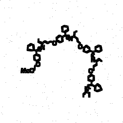 C=C/C(=C\C)N=C=C(c1ccccc1)c1ccc(OC/C=C/C(=C\C)N=C=C(c2ccccc2)c2ccc(OC/C=C/C(=C\C)N=C=C(c3ccccc3)c3ccc(OC/C=C/C(=C\C)N=C=C(c4ccccc4)c4ccc(OCCOC)cc4)cc3)cc2)cc1